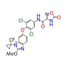 COc1nc2ccc(Oc3c(Cl)cc(NC(=O)c4noc(=O)[nH]4)cc3Cl)cc2n1C1(C(F)(F)F)CC1